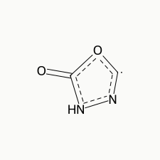 O=c1[nH]n[c]o1